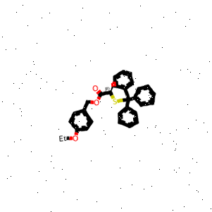 CCOc1ccc(COC(=O)[C@@H](C)SC(c2ccccc2)(c2ccccc2)c2ccccc2)cc1